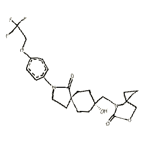 O=C1OCC2(CC2)N1C[C@]1(O)CC[C@]2(CCN(c3ccc(OCC(F)(F)F)cc3)C2=O)CC1